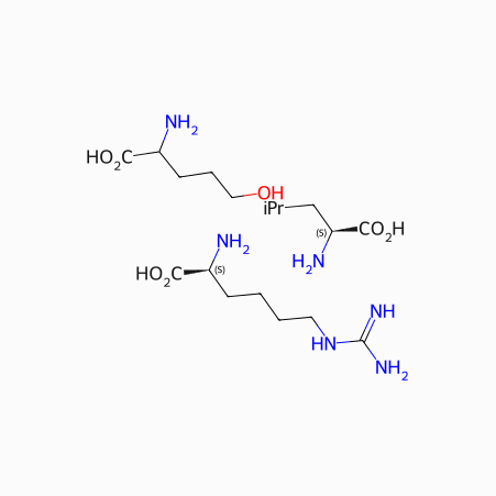 CC(C)C[C@H](N)C(=O)O.N=C(N)NCCCC[C@H](N)C(=O)O.NC(CCCO)C(=O)O